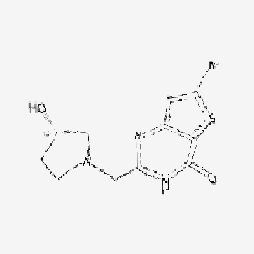 O=c1[nH]c(CN2CC[C@H](O)C2)nc2cc(Br)sc12